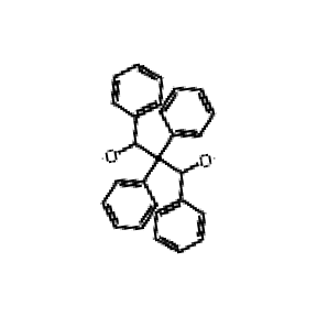 [O]C(c1ccccc1)C(c1ccccc1)(c1ccccc1)C([O])c1ccccc1